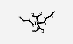 CCC[CH2][Ti]([CH2]CCC)([CH](C)C)[CH](C)C